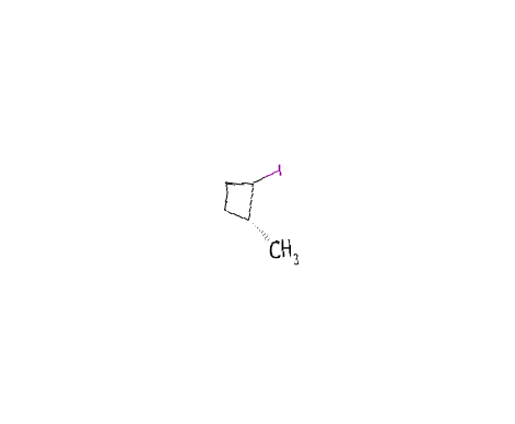 C[C@@H]1CCC1I